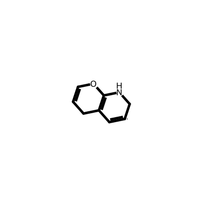 [C]1=CC2=C(NC1)OC=CC2